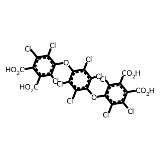 O=C(O)c1c(Cl)c(Cl)c(Oc2c(Cl)c(Cl)c(Oc3c(Cl)c(Cl)c(C(=O)O)c(C(=O)O)c3Cl)c(Cl)c2Cl)c(Cl)c1C(=O)O